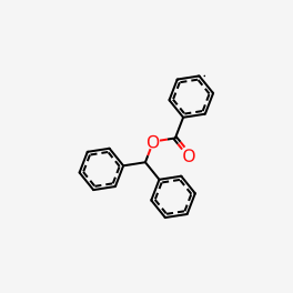 O=C(OC(c1ccccc1)c1ccccc1)c1cc[c]cc1